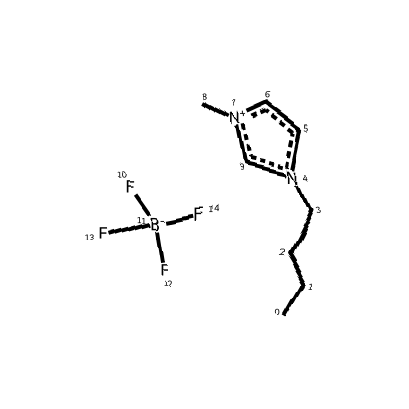 CCCCn1cc[n+](C)c1.F[B-](F)(F)F